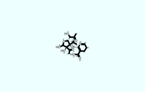 CC(=O)C(O)[C@H]1OC(O)[C@@](O)(C(C)=O)[C@@]1(O)C(C)=O.O=C(O)C1=CN=CCC1